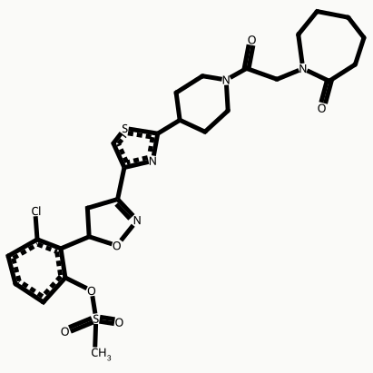 CS(=O)(=O)Oc1cccc(Cl)c1C1CC(c2csc(C3CCN(C(=O)CN4CCCCCC4=O)CC3)n2)=NO1